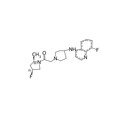 C[C@@H]1C[C@H](F)CN1C(=O)CN1CCC(Nc2ccnc3c(F)cccc23)CC1